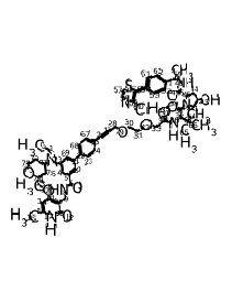 CCN(c1cc(C(=O)NCc2c(OC)cc(C)[nH]c2=O)cc(-c2ccc(C#CCOCCOCC(=O)N[C@H](C(=O)N3C[C@H](O)C[C@H]3C(=O)N[C@@H](C)c3ccc(-c4scnc4C)cc3)C(C)(C)C)cc2)c1)C1CCOCC1